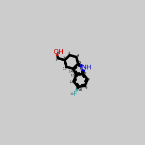 OCC1CCc2[nH]c3ccc(F)cc3c2C1